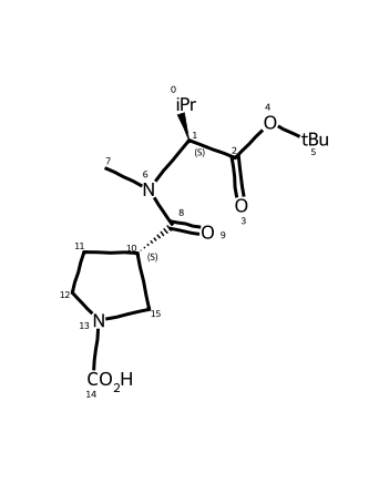 CC(C)[C@@H](C(=O)OC(C)(C)C)N(C)C(=O)[C@H]1CCN(C(=O)O)C1